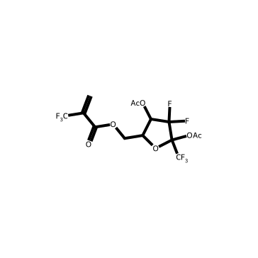 C=C(C(=O)OCC1OC(OC(C)=O)(C(F)(F)F)C(F)(F)C1OC(C)=O)C(F)(F)F